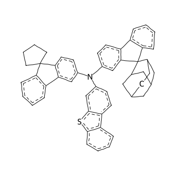 c1ccc2c(c1)-c1cc(N(c3ccc4c(c3)C3(c5ccccc5-4)C4CCC5CC(C4)CC3C5)c3ccc4c(c3)sc3ccccc34)ccc1C21CCCC1